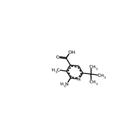 Cc1c(C(=O)O)cc(C(C)(C)C)nc1N